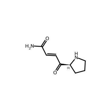 NC(=O)C=CC(=O)[C@@H]1CCCN1